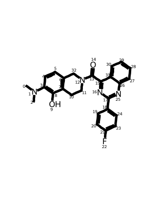 CN(C)c1ccc2c(c1O)CCN(C(=O)c1nc(-c3ccc(F)cc3)nc3ccccc13)C2